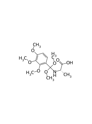 COc1ccc(C(N[C@@H](C)C(=O)O)(OC)OC)c(OC)c1OC